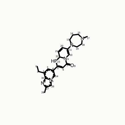 CCc1cc(C2=CC(=O)N3C=C(N4CCCN(C)CC4)C=CC3P2)cn2cc(C)nc12